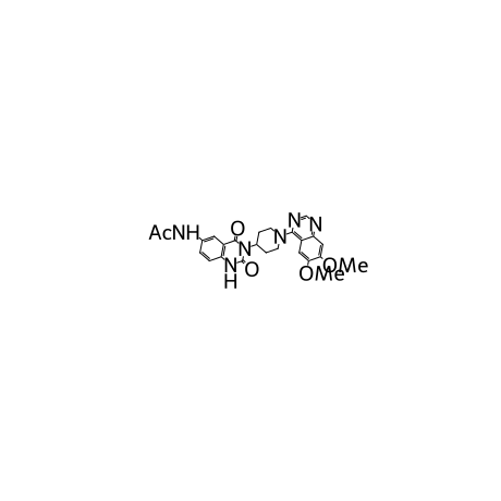 COc1cc2ncnc(N3CCC(n4c(=O)[nH]c5ccc(NC(C)=O)cc5c4=O)CC3)c2cc1OC